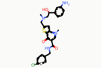 CN(Cc1cc2c(s1)c(=O)c(C(=O)NCc1ccc(Cl)cc1)cn2C)CC(O)c1cccc(N)c1